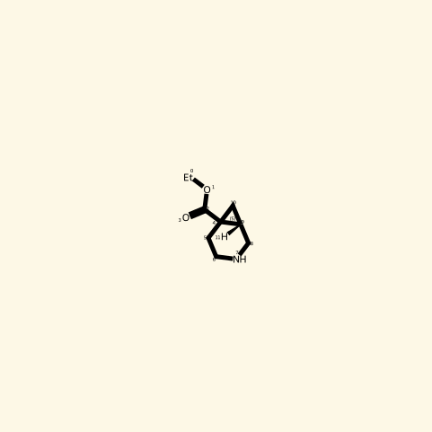 CCOC(=O)C12CCNC[C@H]1C2